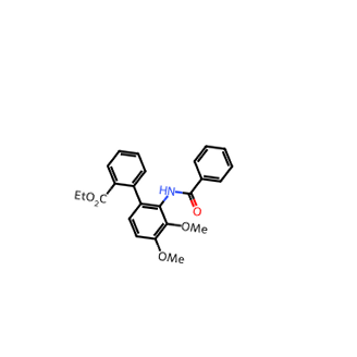 CCOC(=O)c1ccccc1-c1ccc(OC)c(OC)c1NC(=O)c1ccccc1